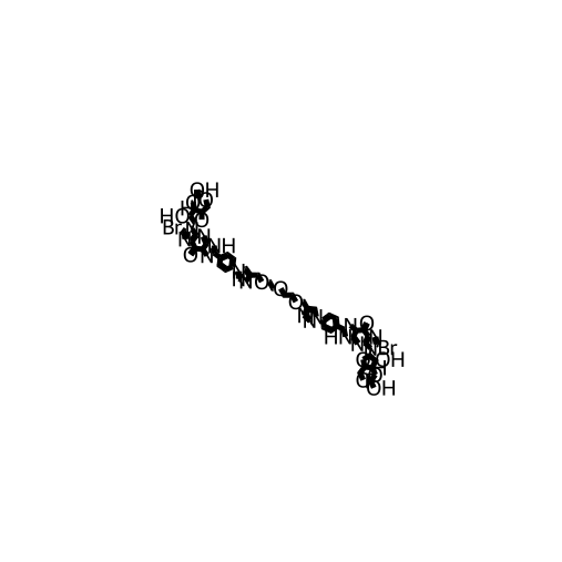 O=C1c2nc(Br)n([C@@H]3OC4COP(O)O[C@H]4C3O)c2N=C2NC(c3ccc(-n4cc(COCCOCCOCc5cn(-c6ccc(C7=NC8C(=O)c9nc(Br)n([C@@H]%10OC%11COP(O)O[C@H]%11[C@@H]%10O)c9N=C8N7)cc6)nn5)nn4)cc3)=NC12